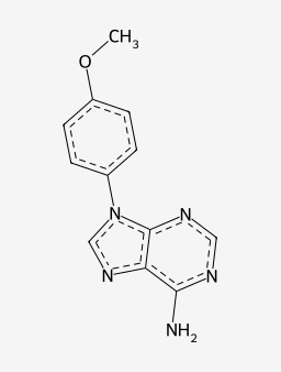 COc1ccc(-n2cnc3c(N)ncnc32)cc1